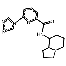 O=C(NC1CCCN2CCCC12)c1cccc(-n2cnnc2)n1